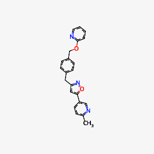 Cc1ccc(-c2cc(Cc3ccc(COc4ccccn4)cc3)no2)cn1